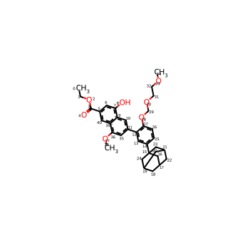 CCOC(=O)c1cc(O)c2cc(-c3cc(C45CC6CC(CC(C6)C4)C5)ccc3OCOCCOC)cc(OC)c2c1